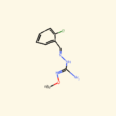 CCCCON=C(N)NN=Cc1ccccc1Cl